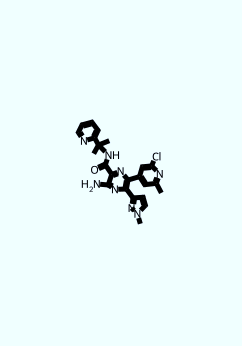 Cc1cc(-c2nc(C(=O)NC(C)(C)c3ccccn3)c(N)nc2-c2ccn(C)n2)cc(Cl)n1